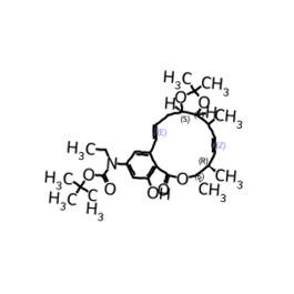 CCN(C(=O)OC(C)(C)C)c1cc(O)c2c(c1)/C=C/C[C@@H]1OC(C)(C)O[C@@H]1C(C)/C=C\[C@@H](C)[C@H](C)OC2=O